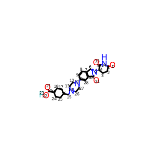 O=C1CC[C@H](N2Cc3ccc(N4CCN(CC5CCC(C(=O)OF)CC5)CC4)cc3C2=O)C(=O)N1